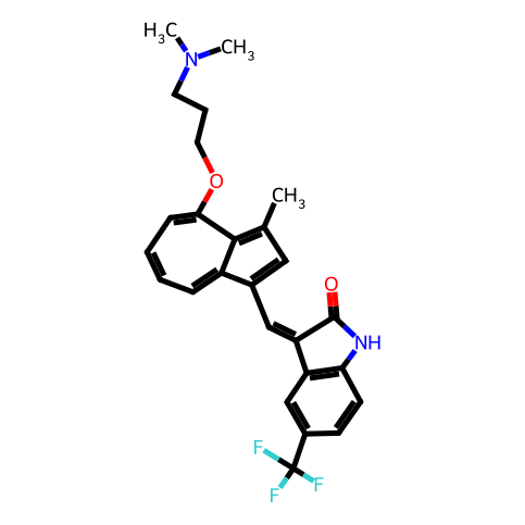 Cc1cc(/C=C2\C(=O)Nc3ccc(C(F)(F)F)cc32)c2ccccc(OCCCN(C)C)c1-2